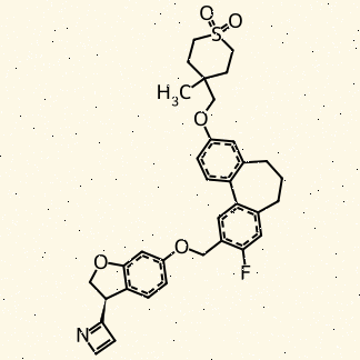 CC1(COc2ccc3c(c2)CCCc2cc(F)c(COc4ccc5c(c4)OC[C@@H]5C4=NC=C4)cc2-3)CCS(=O)(=O)CC1